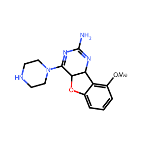 COc1cccc2c1C1N=C(N)N=C(N3CCNCC3)C1O2